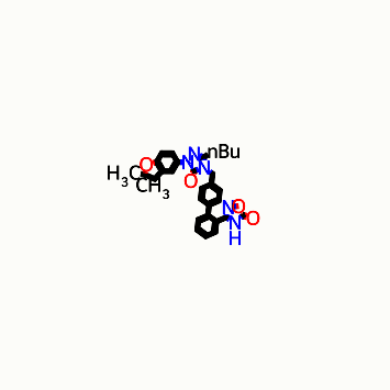 CCCCc1nn(-c2ccc3c(c2)CC(C)(C)O3)c(=O)n1Cc1ccc(-c2ccccc2-c2noc(=O)[nH]2)cc1